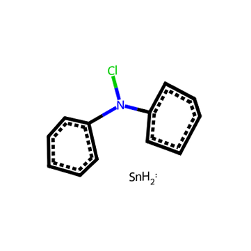 ClN(c1ccccc1)c1ccccc1.[SnH2]